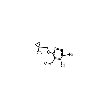 COc1c(OCC2(C#N)CC2)ncc(Br)c1Cl